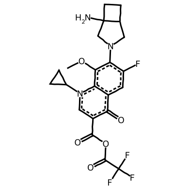 COc1c(N2CC3CCC3(N)C2)c(F)cc2c(=O)c(C(=O)OC(=O)C(F)(F)F)cn(C3CC3)c12